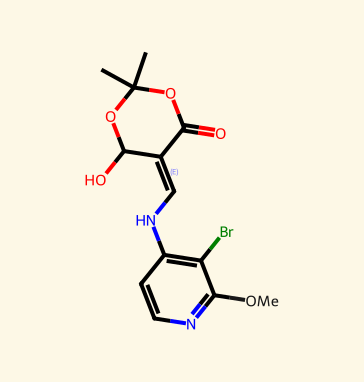 COc1nccc(N/C=C2/C(=O)OC(C)(C)OC2O)c1Br